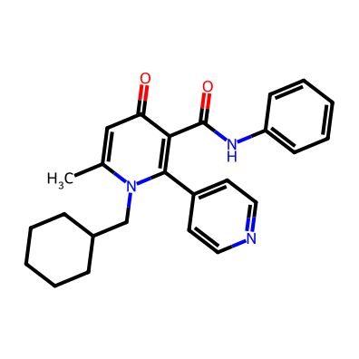 Cc1cc(=O)c(C(=O)Nc2ccccc2)c(-c2ccncc2)n1CC1CCCCC1